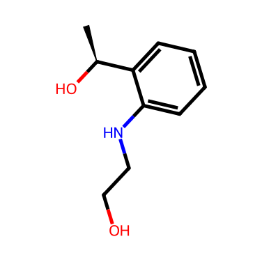 C[C@H](O)c1ccccc1NCCO